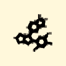 Cc1cc(F)c(N2C=C3CCCN3C2c2ccc3[nH]ncc3c2)cc1F